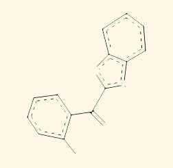 Cc1ccccc1C(=O)c1nc2ccccc2s1